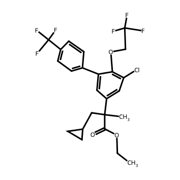 CCOC(=O)C(C)(CC1CC1)c1cc(Cl)c(OCC(F)(F)F)c(-c2ccc(C(F)(F)F)cc2)c1